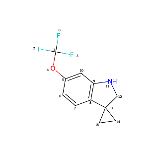 FC(F)(F)Oc1ccc2c(c1)NCC21CC1